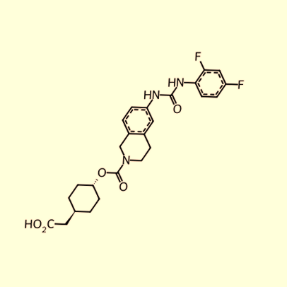 O=C(O)C[C@H]1CC[C@H](OC(=O)N2CCc3cc(NC(=O)Nc4ccc(F)cc4F)ccc3C2)CC1